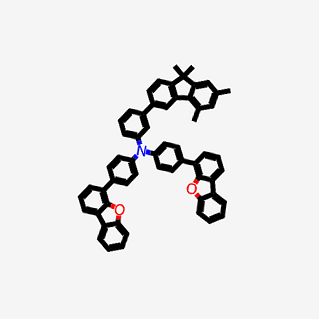 Cc1cc(C)c2c(c1)C(C)(C)c1ccc(-c3cccc(N(c4ccc(-c5cccc6c5oc5ccccc56)cc4)c4ccc(-c5cccc6c5oc5ccccc56)cc4)c3)cc1-2